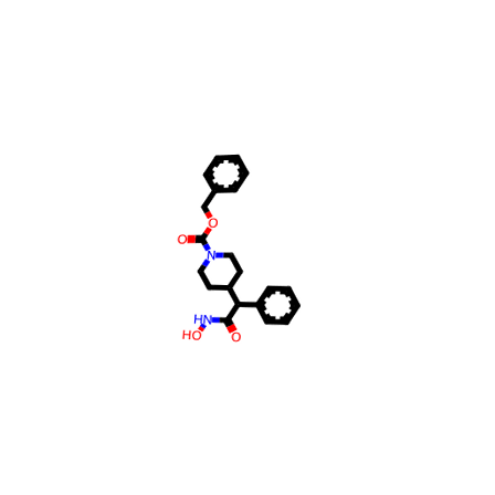 O=C(NO)C(c1ccccc1)C1CCN(C(=O)OCc2ccccc2)CC1